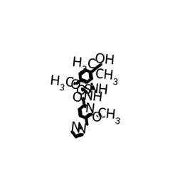 COc1ccc(C(C)(C)CO)cc1[S@](=N)(=O)NC(=O)c1ccc(Cn2cccn2)c(OC)n1